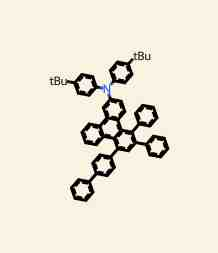 CC(C)(C)c1ccc(N(c2ccc(C(C)(C)C)cc2)c2ccc3c(c2)c2ccccc2c2c(-c4ccc(-c5ccccc5)cc4)cc(-c4ccccc4)c(-c4ccccc4)c32)cc1